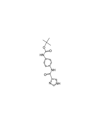 CC(C)(C)OC(=O)Nc1ccc(NC(=O)c2c[nH]cn2)cc1